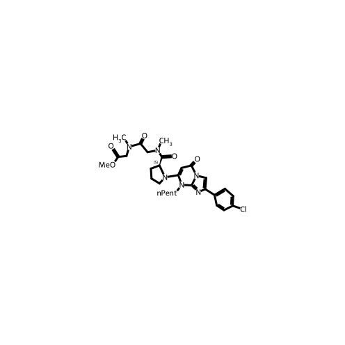 CCCCCn1c(N2CCC[C@H]2C(=O)N(C)CC(=O)N(C)CC(=O)OC)cc(=O)n2cc(-c3ccc(Cl)cc3)nc12